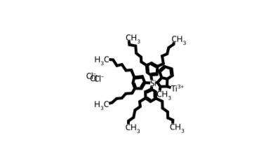 CCCCCCc1cc(CCCCCC)cc([Si](c2cc(CCCCCC)cc(CCCCCC)c2)(c2cc(CCCCCC)cc(CCCCCC)c2)C2C(C)[CH]([Ti+3])C3C=CC=CC32)c1.[Cl-].[Cl-].[Cl-]